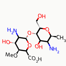 CO[C@@H]1C(C(=O)O)O[C@@H](O[C@H]2C(O)C(N)[C@H](C)O[C@H]2CO)C(N)[C@H]1O